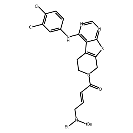 CCN(C/C=C/C(=O)N1CCc2c(sc3ncnc(Nc4ccc(Cl)c(Cl)c4)c23)C1)C(C)(C)C